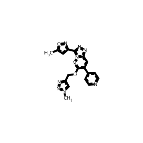 Cc1cc(-c2nnc3cc(-c4ccncc4)c(OCc4cn(C)nn4)nn23)no1